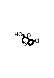 O=C1/C(=C/O)CCSc2ccc(Cl)cc21